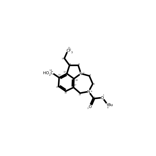 CC(C)(C)OC(=O)N1CCN2CC(CC(F)(F)F)c3c(C(=O)O)ccc(c32)C1